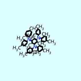 CC1=CC#CC(N(c2ccc(C)cc2C)c2c(C)c(N(c3ccc(C)cc3C)c3ccc(C)cc3C)c(C)c(N(c3ccc(C)cc3C)c3ccc(C)cc3C)c2C)C=C1